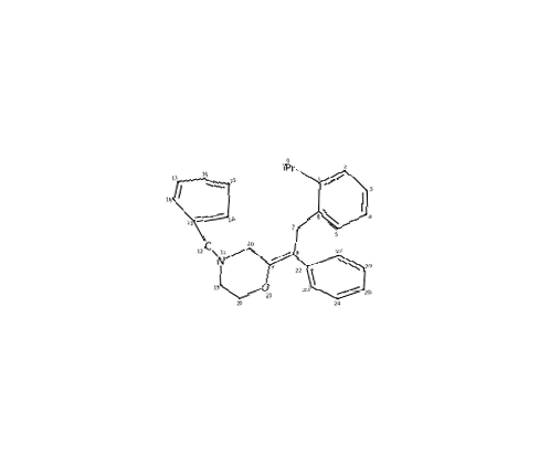 CC(C)c1ccccc1CC(=C1CN(Cc2ccccc2)CCO1)c1ccccc1